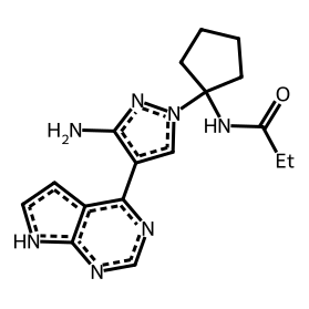 CCC(=O)NC1(n2cc(-c3ncnc4[nH]ccc34)c(N)n2)CCCC1